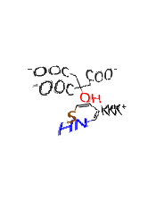 C1=CNSC=C1.O=C([O-])CC(O)(CC(=O)[O-])C(=O)[O-].[K+].[K+].[K+]